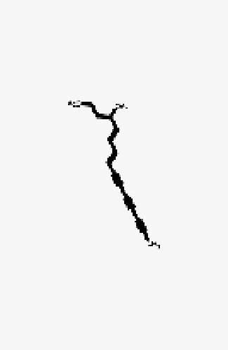 CC#CC#CC#C/C=C/C=C/C(CCOC(C)=O)OC(C)=O